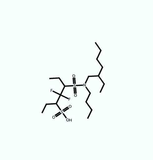 CCCCC(CC)CN(CCCC)S(=O)(=O)C(CC)C(F)(F)C(CC)S(=O)(=O)O